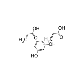 C=CC(=O)O.C=CC(=O)O.Oc1cccc(O)c1